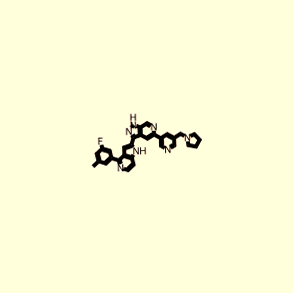 Cc1cc(F)cc(-c2nccc3[nH]c(-c4n[nH]c5cnc(-c6cncc(CN7CCCC7)c6)cc45)cc23)c1